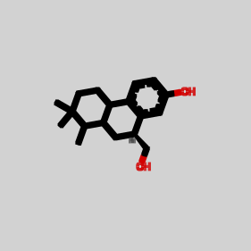 CC1C2C[C@H](CO)c3cc(O)ccc3C2CCC1(C)C